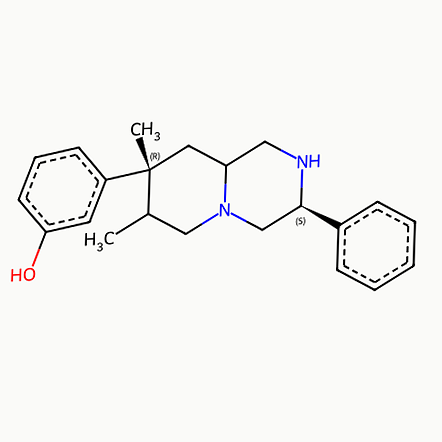 CC1CN2C[C@H](c3ccccc3)NCC2C[C@@]1(C)c1cccc(O)c1